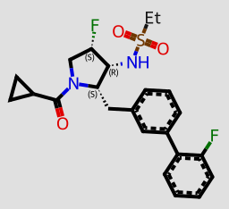 CCS(=O)(=O)N[C@H]1[C@@H](F)CN(C(=O)C2CC2)[C@H]1Cc1cccc(-c2ccccc2F)c1